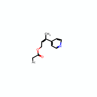 CC(=O)CC(=O)OC/C=C(/C)c1ccncc1